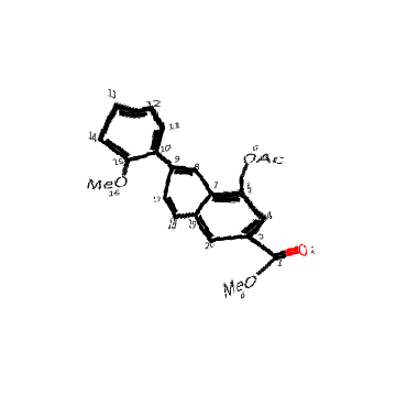 COC(=O)c1cc(OC(C)=O)c2cc(-c3ccccc3OC)ccc2c1